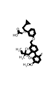 C=CC(C)(C)[C@@H](O)c1cc(COc2cccc([C@H](CC(=O)O)CC3CC3)c2)ccc1-c1cc(OC)ccc1F